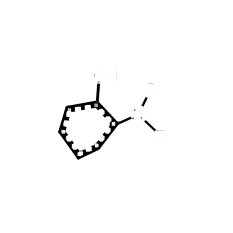 CCN(CC)c1c[c]ccc1O